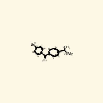 CSC(C)c1ccc(C(=O)c2ccc(Br)cc2)cc1